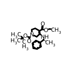 CCOC(=O)C1=C(N[C@H](C)c2ccccc2)CN(C(=O)OC(C)(C)C)CC1